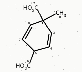 CC1(C(=O)O)C=CC(C(=O)O)C=C1